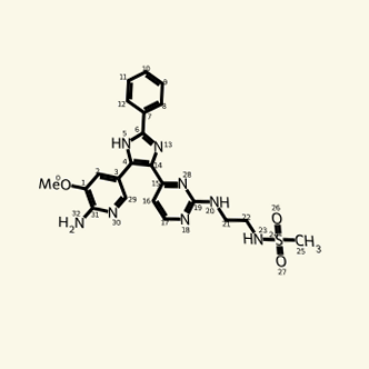 COc1cc(-c2[nH]c(-c3ccccc3)nc2-c2ccnc(NCCNS(C)(=O)=O)n2)cnc1N